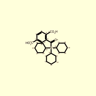 O=C(O)c1ccc(C(=O)O)c(C(=O)[N+](C2CCCCC2)(C2CCCCC2)C2CCCCC2)c1